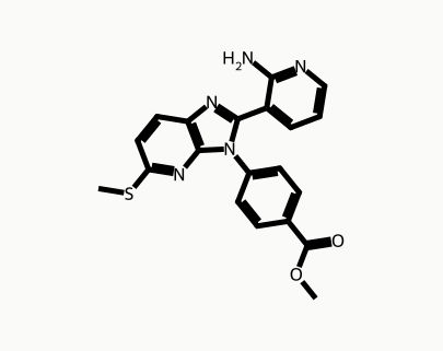 COC(=O)c1ccc(-n2c(-c3cccnc3N)nc3ccc(SC)nc32)cc1